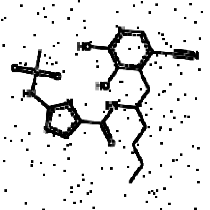 CCCCC(Cc1c(C#N)cnc(O)c1O)NC(=O)c1csc(NS(C)(=O)=O)n1